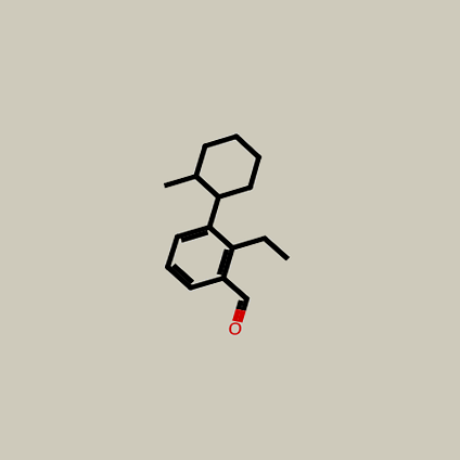 CCc1c(C=O)cccc1C1CCCCC1C